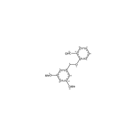 COc1cc(COc2ccccc2C=O)cc(OC)c1